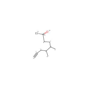 C#CCC(C)C(C)CCC(=O)CC